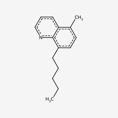 CCCCCc1ccc(C)c2cccnc12